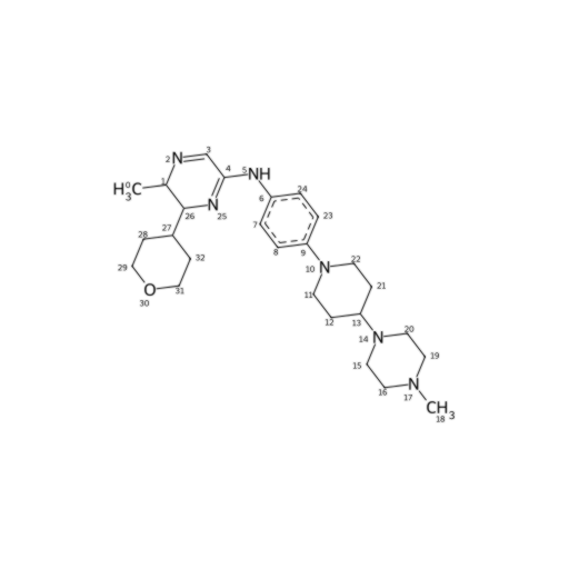 CC1N=CC(Nc2ccc(N3CCC(N4CCN(C)CC4)CC3)cc2)=NC1C1CCOCC1